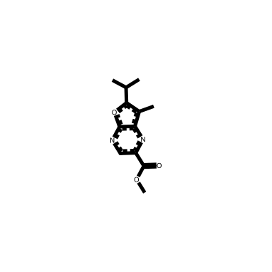 COC(=O)c1cnc2oc(C(C)C)c(C)c2n1